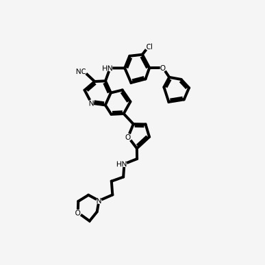 N#Cc1cnc2cc(-c3ccc(CNCCCN4CCOCC4)o3)ccc2c1Nc1ccc(Oc2ccccc2)c(Cl)c1